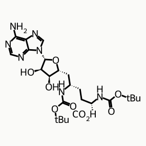 CC(C)(C)OC(=O)N[C@@H](CC[C@H](NC(=O)OC(C)(C)C)C(=O)O)C[C@H]1O[C@@H](n2cnc3c(N)ncnc32)[C@H](O)[C@@H]1O